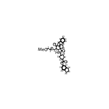 COCCOCC(CC1(C(=O)NC2CCC(C(=O)Oc3ccc4c(c3)CCC4)CC2)CCCC1)C(=O)OCc1ccccc1